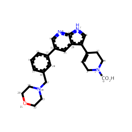 O=C(O)N1CC=C(c2c[nH]c3ncc(-c4cccc(CN5CCOCC5)c4)cc23)CC1